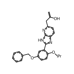 C=C(O)Cc1ccc2nc(-c3cc(OCc4ccccc4)ccc3OC(C)C)[nH]c2n1